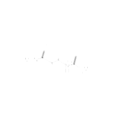 CNC(=O)CCNC(=O)OC